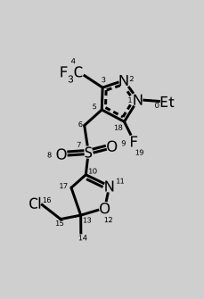 CCn1nc(C(F)(F)F)c(CS(=O)(=O)C2=NOC(C)(CCl)C2)c1F